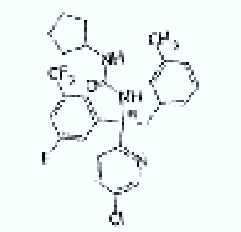 Cc1cccc(C[C@@](NC(=O)NC2CCCC2)(c2cc(F)cc(C(F)(F)F)c2)c2ccc(Cl)cn2)c1